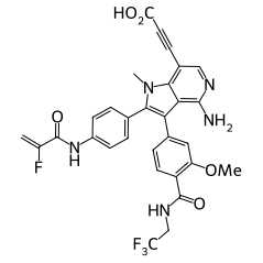 C=C(F)C(=O)Nc1ccc(-c2c(-c3ccc(C(=O)NCC(F)(F)F)c(OC)c3)c3c(N)ncc(C#CC(=O)O)c3n2C)cc1